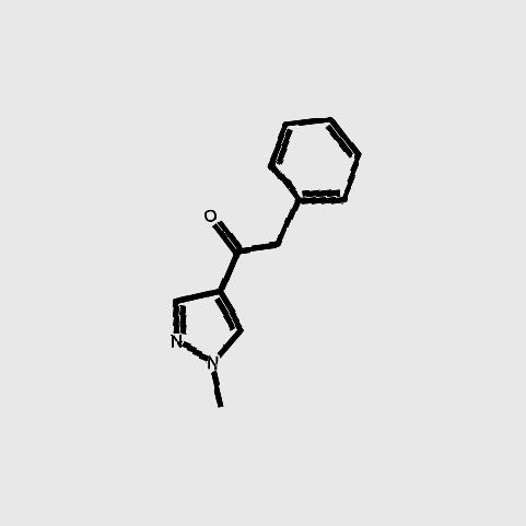 Cn1cc(C(=O)Cc2ccccc2)cn1